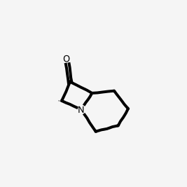 O=C1[CH]N2CCCCC12